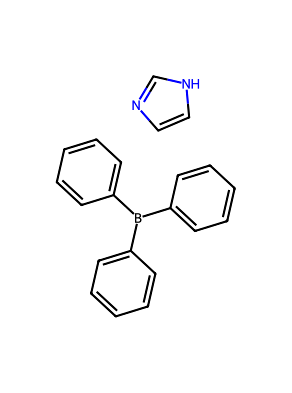 c1c[nH]cn1.c1ccc(B(c2ccccc2)c2ccccc2)cc1